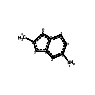 Cc1cc2cc(N)ccc2s1